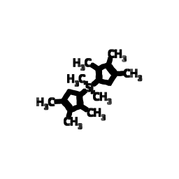 CC1=C(C)C(C)=C([Si](C)(C)C2=C(C)C(C)=C(C)C2)C1